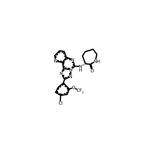 O=C1NCCCC[C@H]1Nc1nc2cccnc2c2nc(-c3ccc(Cl)cc3OC(F)(F)F)nn12